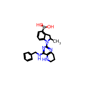 CC1Cc2c(B(O)O)cccc2N1c1nc2c(c(NCc3ccccc3)n1)NCCC2